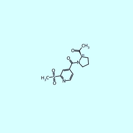 CC(=O)[C@H]1CCCN1C(=O)c1ccnc(S(C)(=O)=O)c1